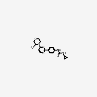 CC1COCCN1c1ccnc(-c2ccc(NC(=O)NC3CC3)cc2)n1